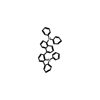 c1ccc(N(c2ccccc2)c2cccc3c(-c4cccc5c6ccccc6n(-c6ccccc6)c45)cccc23)cc1